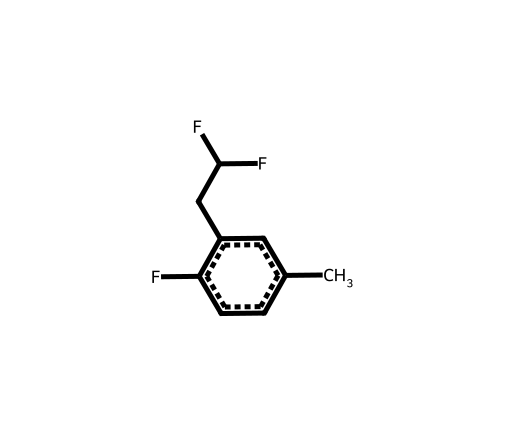 Cc1ccc(F)c(CC(F)F)c1